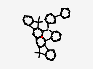 CC1(C)c2ccccc2-c2c(-c3ccccc3N(c3cccc(-c4ccccc4)c3)c3cccc4c3C(C)(C)c3ccccc3-4)cccc21